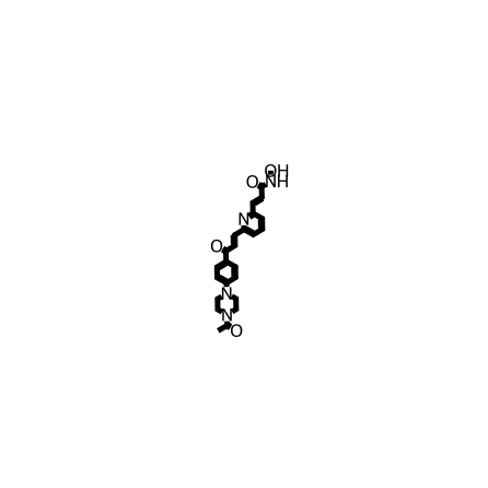 CC(=O)N1CCN(c2ccc(C(=O)C=Cc3cccc(C=CC(=O)NO)n3)cc2)CC1